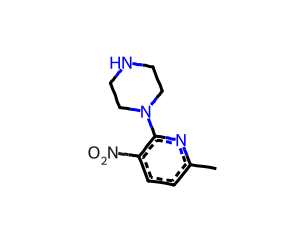 Cc1ccc([N+](=O)[O-])c(N2CCNCC2)n1